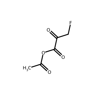 CC(=O)OC(=O)C(=O)CF